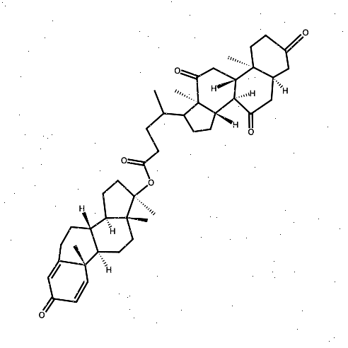 CC(CCC(=O)O[C@]1(C)CC[C@@H]2[C@H]3CCC4=CC(=O)C=C[C@@]4(C)[C@@H]3CC[C@]21C)C1CC[C@H]2[C@@H]3C(=O)C[C@@H]4CC(=O)CC[C@]4(C)[C@H]3CC(=O)[C@]12C